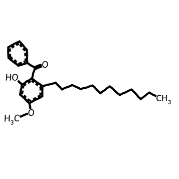 CCCCCCCCCCCCc1cc(OC)cc(O)c1C(=O)c1ccccc1